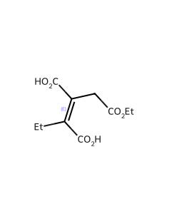 CCOC(=O)C/C(C(=O)O)=C(/CC)C(=O)O